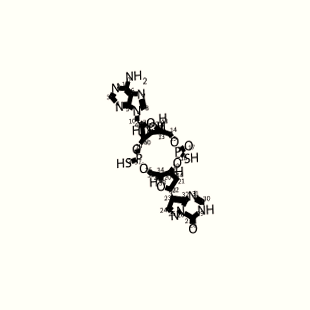 Nc1ncnc2c1ncn2C[C@@H]1O[C@@H]2COP(=O)(S)O[C@H]3C[C@H](c4cnn5c(=O)[nH]cnc45)O[C@@H]3COP(S)O[C@@H]1[C@@H]2O